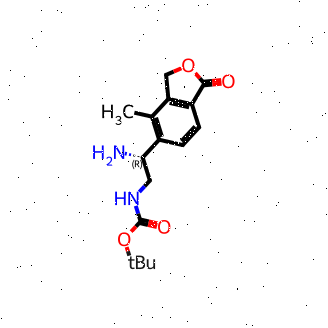 Cc1c([C@@H](N)CNC(=O)OC(C)(C)C)ccc2c1COC2=O